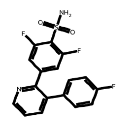 NS(=O)(=O)c1c(F)cc(-c2ncccc2-c2ccc(F)cc2)cc1F